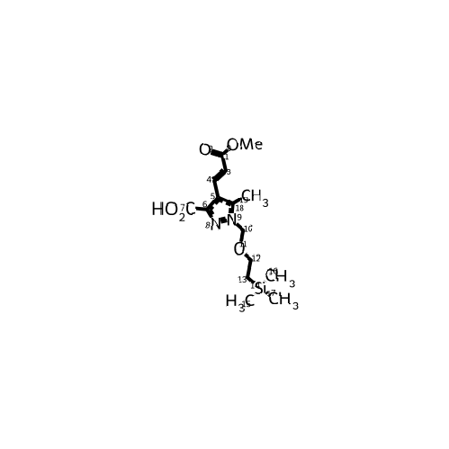 COC(=O)/C=C/c1c(C(=O)O)nn(COCC[Si](C)(C)C)c1C